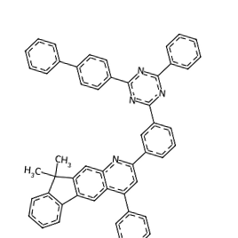 CC1(C)c2ccccc2-c2cc3c(-c4ccccc4)cc(-c4cccc(-c5nc(-c6ccccc6)nc(-c6ccc(-c7ccccc7)cc6)n5)c4)nc3cc21